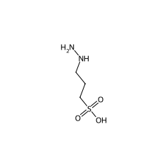 NNCCCS(=O)(=O)O